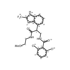 COCCNC(=O)C(CNC(=O)c1c(Cl)cccc1Cl)c1cccc2[nH]c(C(F)(F)F)nc12